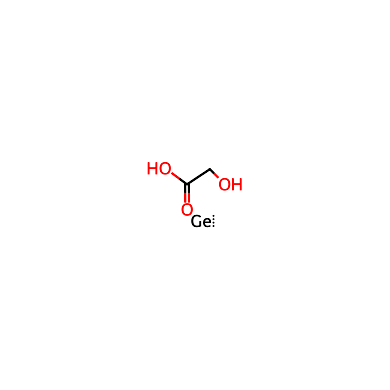 O=C(O)CO.[Ge]